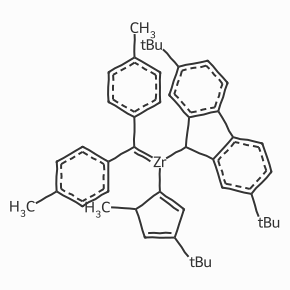 Cc1ccc([C](c2ccc(C)cc2)=[Zr]([C]2=CC(C(C)(C)C)=CC2C)[CH]2c3cc(C(C)(C)C)ccc3-c3ccc(C(C)(C)C)cc32)cc1